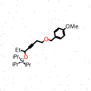 CCC(C#CCCOCc1ccc(OC)cc1)O[Si](C(C)C)(C(C)C)C(C)C